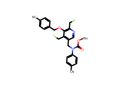 CC(C)(C)OC(=O)N(Cc1cnc(CF)c(OCc2ccc(C#N)cc2)c1CF)c1ccc(C#N)cc1